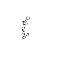 N#Cc1ccccc1N1CCC(N2CCC(CNC(=O)OCc3ccccc3)CC2)CC1